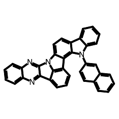 c1ccc2cc(-n3c4ccccc4c4ccc5c(c6cccc7c8nc9ccccc9nc8n5c76)c43)ccc2c1